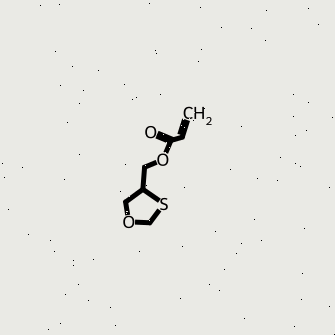 C=CC(=O)OCC1COCS1